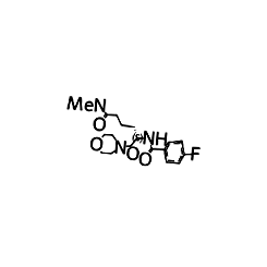 CNC(=O)CCC[C@H](NC(=O)c1ccc(F)cc1)C(=O)N1CCOCC1